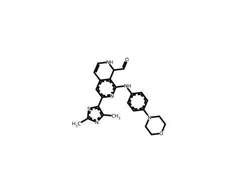 Cc1nc(C)c(-c2cc3c(c(Nc4ccc(N5CCOCC5)cc4)n2)C(C=O)NC=C3)s1